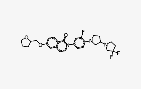 O=c1c2ccc(OC[C@H]3CCCO3)cc2ccn1-c1ccc(N2CCC(N3CCC(F)(F)C3)C2)c(F)c1